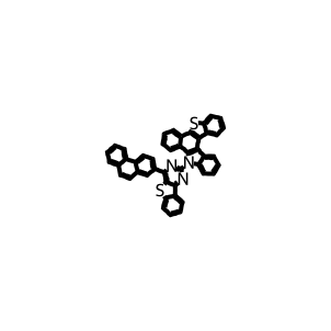 c1ccc2c(c1)ccc1cc(-c3nc(-n4c5ccccc5c5c6c7ccccc7sc6c6ccccc6c54)nc4c3sc3ccccc34)ccc12